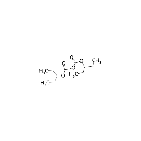 CCC(CC)OC(=O)OC(=O)OC(CC)CC